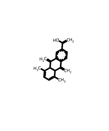 C=C(O)c1ccc2c(c1)C(=C)C1C(C)=CC=C(C)C1C2=C